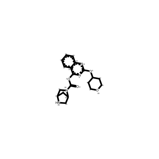 O=C(Oc1nc(OC2CCOCC2)nc2ccccc12)N1CC2CC1CN2